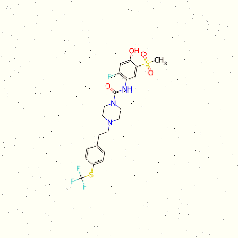 CS(=O)(=O)c1cc(NC(=O)N2CCN(CCc3ccc(SC(F)(F)F)cc3)CC2)c(F)cc1O